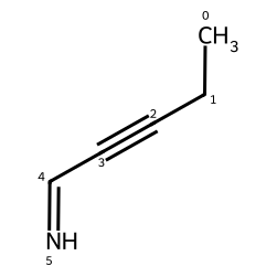 CCC#CC=N